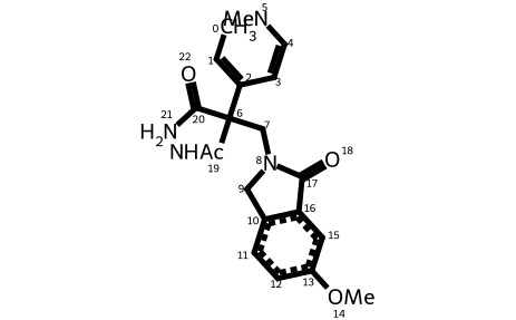 C/C=C(\C=C/NC)C(CN1Cc2ccc(OC)cc2C1=O)(NC(C)=O)C(N)=O